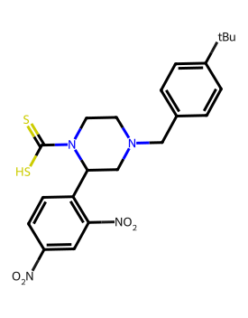 CC(C)(C)c1ccc(CN2CCN(C(=S)S)C(c3ccc([N+](=O)[O-])cc3[N+](=O)[O-])C2)cc1